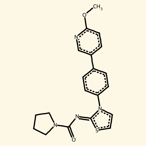 COc1ccc(-c2ccc(-n3ccs/c3=N\C(=O)N3CCCC3)cc2)cn1